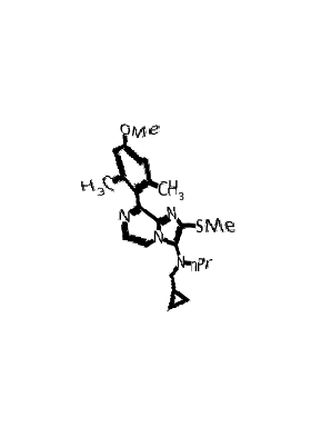 CCCN(CC1CC1)c1c(SC)nc2c(-c3c(C)cc(OC)cc3C)nccn12